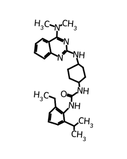 CCc1cccc(C(C)C)c1NC(=O)NC1CCC(Nc2nc(N(C)C)c3ccccc3n2)CC1